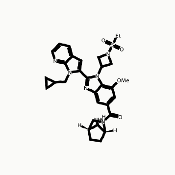 CCS(=O)(=O)N1CC(n2c(-c3cc4cccnc4n3CC3CC3)nc3cc(C(=O)N4C[C@H]5CC[C@@H]4[C@@H]5N)cc(OC)c32)C1